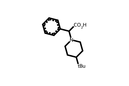 CC(C)(C)C1CCN(C(C(=O)O)c2ccccc2)CC1